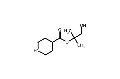 CC(C)(CO)OC(=O)C1CCNCC1